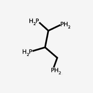 PCC(P)C(P)P